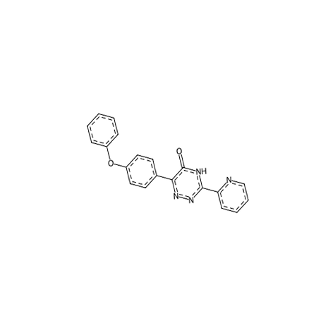 O=c1[nH]c(-c2ccccn2)nnc1-c1ccc(Oc2ccccc2)cc1